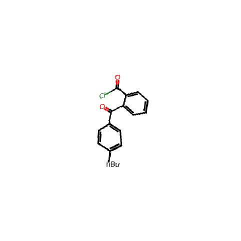 CCCCc1ccc(C(=O)c2ccccc2C(=O)Cl)cc1